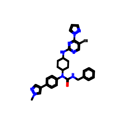 Cn1cc(-c2ccc(N(C(=O)NCc3ccccc3)C3CCC(Nc4ncc(C#N)c(-n5cccn5)n4)CC3)cc2)cn1